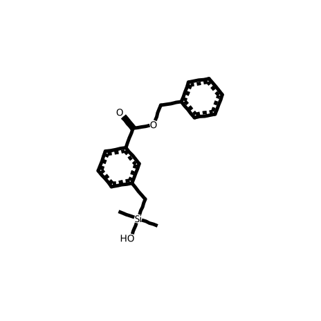 C[Si](C)(O)Cc1cccc(C(=O)OCc2ccccc2)c1